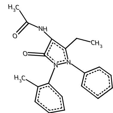 CCc1c(NC(C)=O)c(=O)n(-c2ccccc2C)n1-c1ccccc1